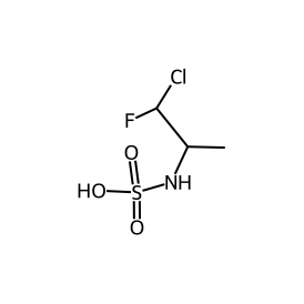 CC(NS(=O)(=O)O)C(F)Cl